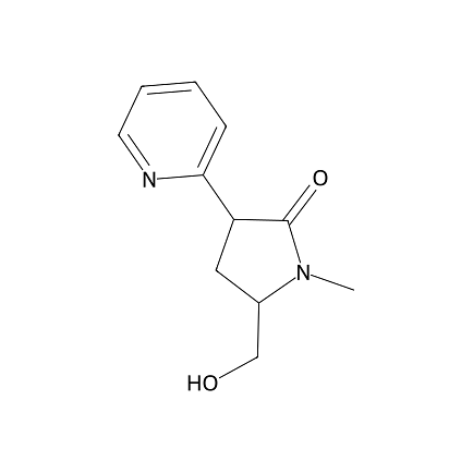 CN1C(=O)C(c2ccccn2)CC1CO